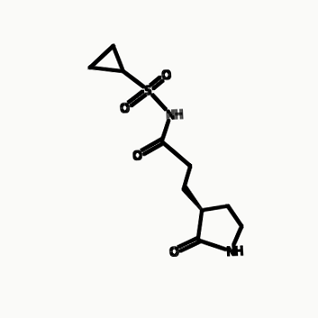 O=C(CC[C@H]1CCNC1=O)NS(=O)(=O)C1CC1